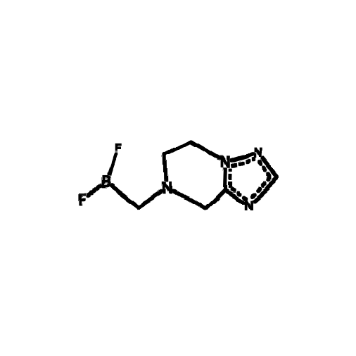 FB(F)CN1CCn2ncnc2C1